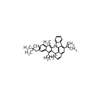 Cc1c2cc(CC(C)(C)C)ccc2c(C)c2c1c1c3c(cc[n+]1C)cc(N(C)C)c1c4ccccc4n2c13